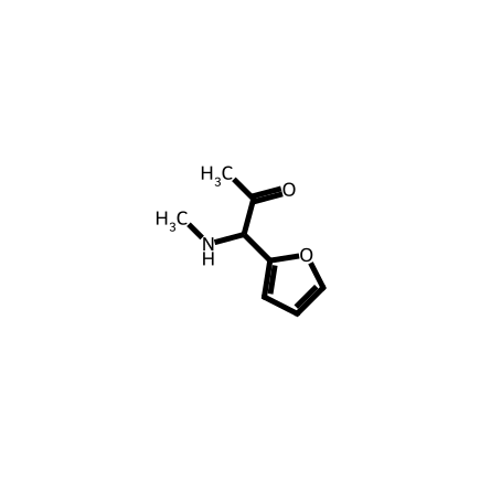 CNC(C(C)=O)c1ccco1